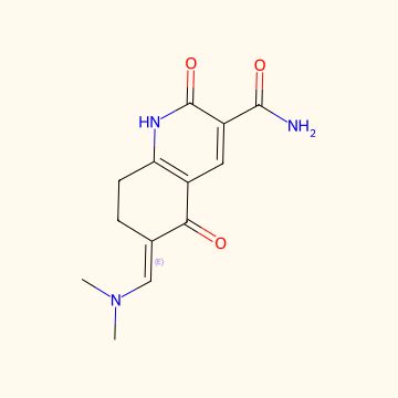 CN(C)/C=C1\CCc2[nH]c(=O)c(C(N)=O)cc2C1=O